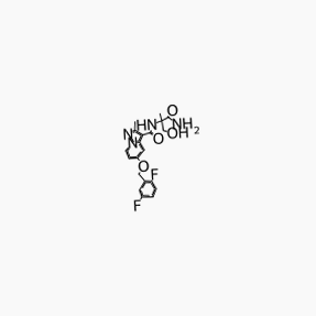 Cc1nn2ccc(OCc3cc(F)ccc3F)cc2c1C(=O)NC(C)(CO)C(N)=O